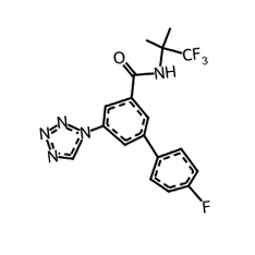 CC(C)(NC(=O)c1cc(-c2ccc(F)cc2)cc(-n2cnnn2)c1)C(F)(F)F